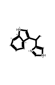 C[C](c1c[nH]cn1)c1c[nH]c2ccccc12